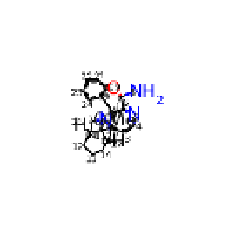 COC1(c2ccnc(C(N)=O)c2)[C@@H]2CCC[C@H]1CN(Cc1ccccc1)C2